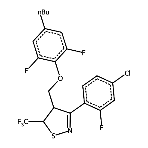 CCCCc1cc(F)c(OCC2C(c3ccc(Cl)cc3F)=NSC2C(F)(F)F)c(F)c1